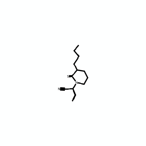 CCCCC1CCCN(C(C#N)CC)C1=S